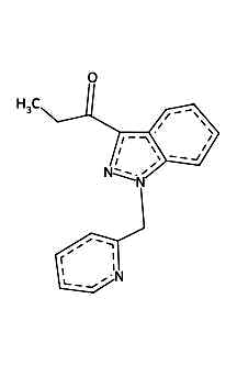 CCC(=O)c1nn(Cc2ccccn2)c2ccccc12